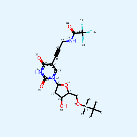 CC(C)(C)[Si](C)(C)OCC1OC(n2cc(C#CCNC(=O)C(F)(F)F)c(=O)[nH]c2=O)CC1O